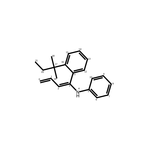 C=C/C=C(/Nc1ccccc1)c1ccccc1C(C)(C)CC